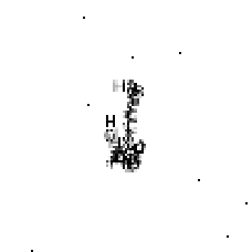 CN1c2ccccc2C(NCCCCCCCCCCC(=O)O)c2ccc(I)cc2S1(=O)=O.Cl